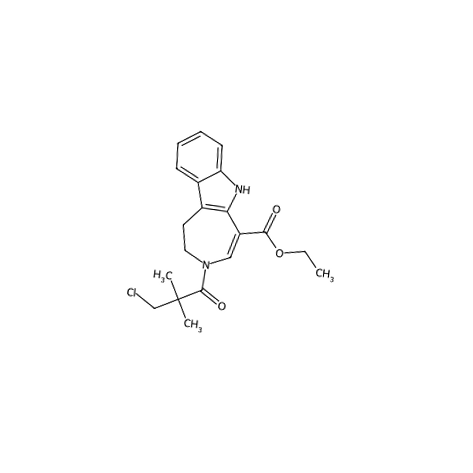 CCOC(=O)C1=CN(C(=O)C(C)(C)CCl)CCc2c1[nH]c1ccccc21